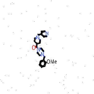 COc1ccccc1CN1CCN(C(=O)C2CCN(Cc3ccncc3)CC2)CC1